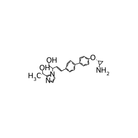 C[C@H](O)c1nccn1C(/C=C/c1ccc(-c2ccc(O[C@@H]3C[C@H]3N)cc2)cc1)CO